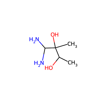 CC(O)C(C)(O)C(N)N